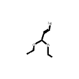 [2H]/C=C/C(OCC)OCC